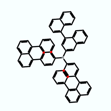 c1ccc(-c2cccc3cccc(-c4ccc(N(c5ccc(-c6cccc7cccc(-c8ccccc8)c67)cc5)c5cc(-c6cccc7ccccc67)c6ccccc6c5)cc4)c23)cc1